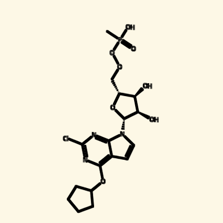 CP(=O)(O)OOC[C@H]1O[C@@H](n2ccc3c(OC4CCCC4)nc(Cl)nc32)[C@H](O)[C@@H]1O